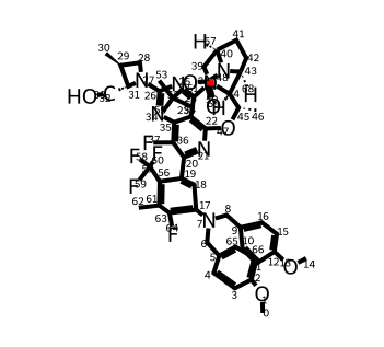 COc1ccc(CN(Cc2ccc(OC)cc2)c2cc(-c3nc4c5c(nc(N6C[C@H](C)[C@H]6CO)nc5c3F)N3C[C@H]5CC[C@@H]([C@H]3[C@H](C)O4)N5C(=O)OC(C)(C)C)c(C(F)(F)F)c(C)c2F)cc1